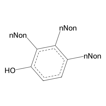 CCCCCCCCCc1ccc(O)c(CCCCCCCCC)c1CCCCCCCCC